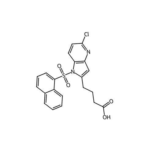 O=C(O)CCCc1cc2nc(Cl)ccc2n1S(=O)(=O)c1cccc2ccccc12